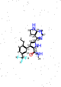 CCc1ccc(C(F)(F)F)cc1-c1cc(-c2ncnc3c2CCN3)[nH]c1C(=O)NC